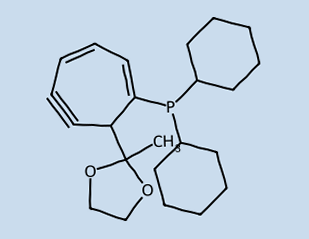 CC1(C2C#CC=CC=C2P(C2CCCCC2)C2CCCCC2)OCCO1